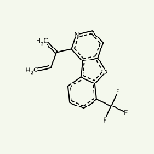 C=CC(=C)c1nccc2sc3c(C(F)(F)F)cccc3c12